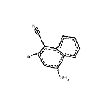 N#Cc1c(Br)cc(N)c2ccccc12